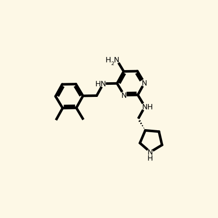 Cc1cccc(CNc2nc(NC[C@@H]3CCNC3)ncc2N)c1C